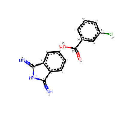 N=C1NC(=N)c2ccccc21.O=C(O)c1cccc(Cl)c1